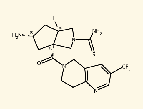 NC(=S)N1C[C@@H]2C[C@@H](N)C[C@]2(C(=O)N2CCc3ncc(C(F)(F)F)cc3C2)C1